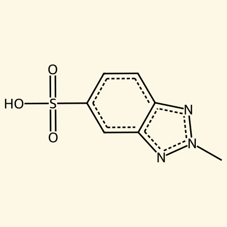 Cn1nc2ccc(S(=O)(=O)O)cc2n1